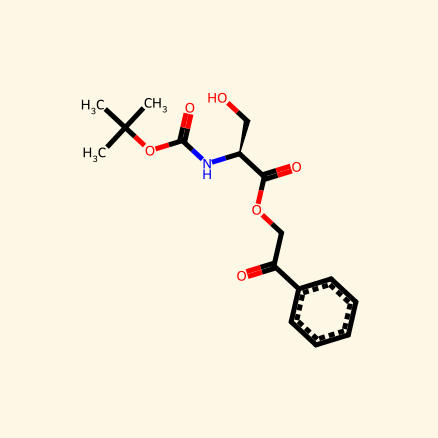 CC(C)(C)OC(=O)N[C@@H](CO)C(=O)OCC(=O)c1ccccc1